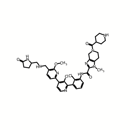 COc1nc(-c2ccnc(-c3cccc(NC(=O)c4nc5c(n4C)CCN(C(=O)C4CCNCC4)C5)c3Cl)c2Cl)ccc1CNCC1CCC(=O)N1